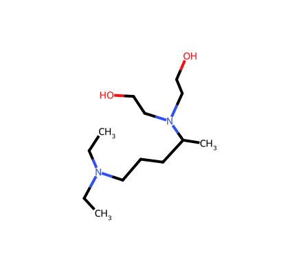 CCN(CC)CCCC(C)N(CCO)CCO